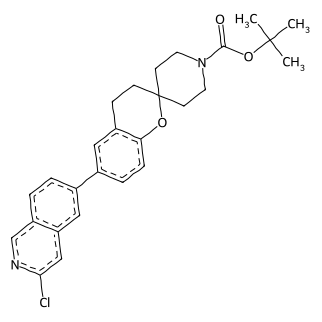 CC(C)(C)OC(=O)N1CCC2(CCc3cc(-c4ccc5cnc(Cl)cc5c4)ccc3O2)CC1